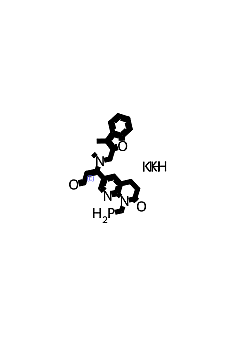 Cc1c(CN(C)/C(=C/C=O)c2cnc3c(c2)CCC(=O)N3CP)oc2ccccc12.[KH].[KH]